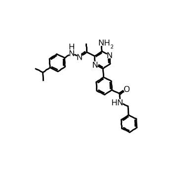 C/C(=N\Nc1ccc(C(C)C)cc1)c1nc(-c2cccc(C(=O)NCc3ccccc3)c2)cnc1N